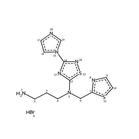 Br.NCCCN(Cc1nccs1)c1nc(-n2ccnc2)ns1